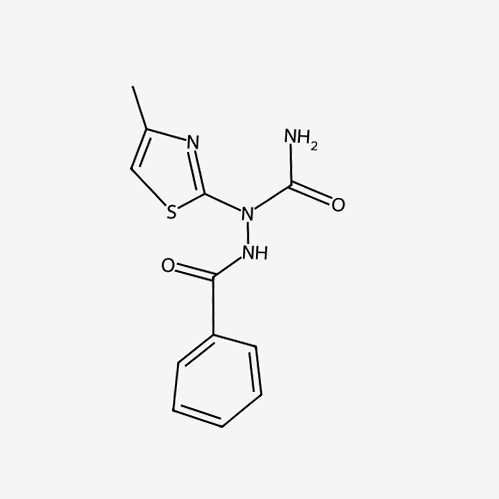 Cc1csc(N(NC(=O)c2ccccc2)C(N)=O)n1